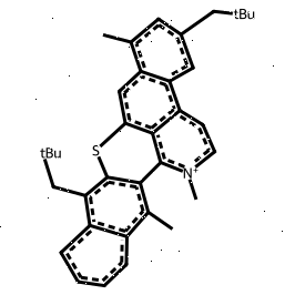 Cc1c2c(c(CC(C)(C)C)c3ccccc13)Sc1cc3c(C)cc(CC(C)(C)C)cc3c3cc[n+](C)c-2c13